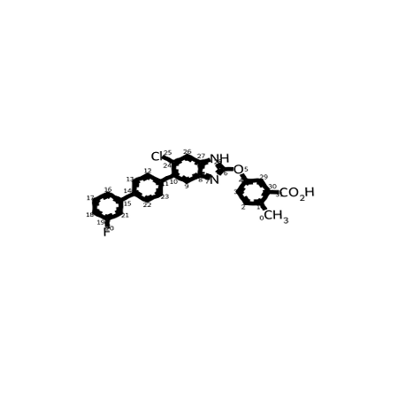 Cc1ccc(Oc2nc3cc(-c4ccc(-c5cccc(F)c5)cc4)c(Cl)cc3[nH]2)cc1C(=O)O